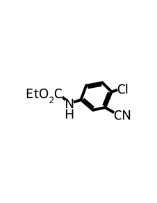 CCOC(=O)Nc1ccc(Cl)c(C#N)c1